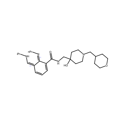 CCC/N=C1/C(C(=O)NCC2(O)CCN(CC3CCOCC3)CC2)=CC=C/C1=C/NC(C)C